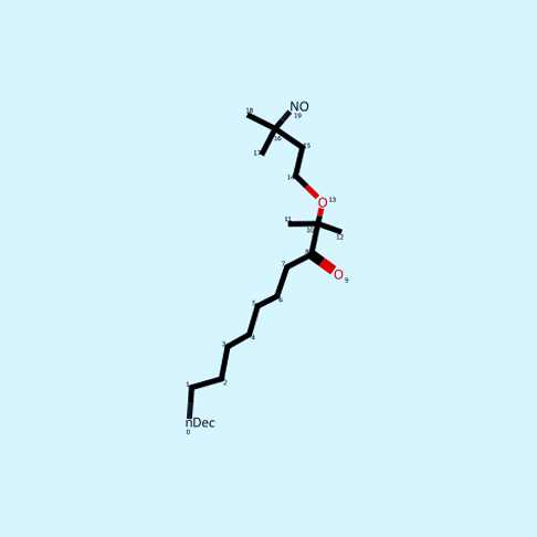 CCCCCCCCCCCCCCCCCC(=O)C(C)(C)OCCC(C)(C)N=O